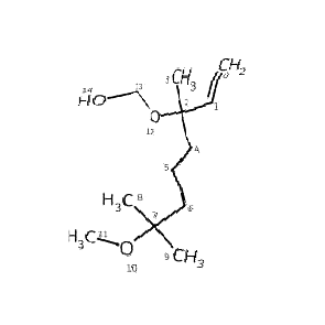 C=CC(C)(CCCC(C)(C)OC)OCO